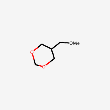 COCC1CO[CH]OC1